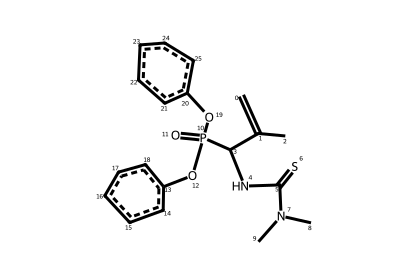 C=C(C)C(NC(=S)N(C)C)P(=O)(Oc1ccccc1)Oc1ccccc1